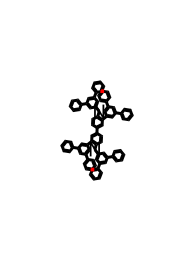 c1ccc(-c2cc(-c3ccccc3)cc(-n3c4ccc(-c5ccc6c(c5)c5cc(-c7ccccc7)cc(-c7ccccc7)c5n6-c5cc(-c6ccccc6)cc(-c6ccccc6)c5)cc4c4cc(-c5ccccc5)cc(-c5ccccc5)c43)c2)cc1